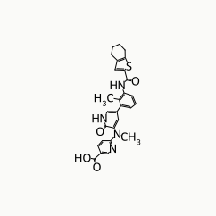 Cc1c(NC(=O)c2cc3c(s2)CCCC3)cccc1-c1c[nH]c(=O)c(N(C)c2ccc(C(=O)O)cn2)c1